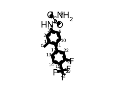 Cc1cc(NS(N)(=O)=O)ccc1-c1ccc(C(F)(F)F)c(F)c1